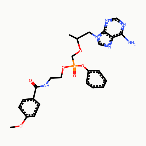 COc1ccc(C(=O)NCCOP(=O)(COC(C)Cn2cnc3c(N)ncnc32)Oc2ccccc2)cc1